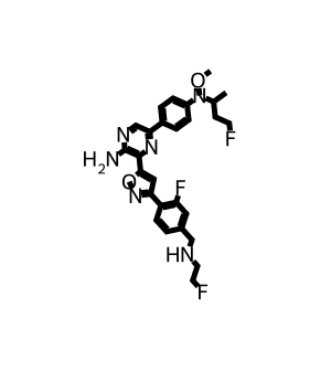 CON(c1ccc(-c2cnc(N)c(-c3cc(-c4ccc(CNCCF)cc4F)no3)n2)cc1)C(C)CCF